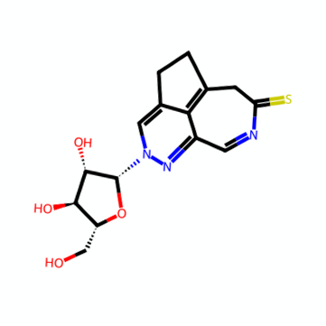 OC[C@H]1O[C@@H](N2C=C3CCC4=C3C(=N2)C=NC(=S)C4)[C@@H](O)[C@@H]1O